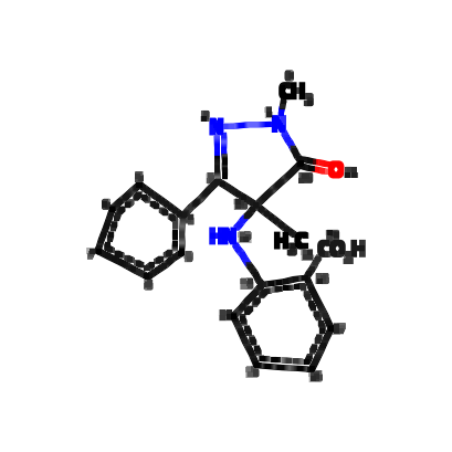 CN1N=C(c2ccccc2)C(C)(Nc2ccccc2C(=O)O)C1=O